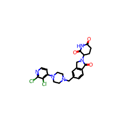 O=C1CCC(N2Cc3cc(CN4CCN(c5ccnc(Cl)c5Cl)CC4)ccc3C2=O)C(=O)N1